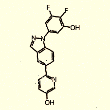 Oc1ccc(-c2ccc3c(cnn3-c3cc(O)c(F)c(F)c3)c2)nc1